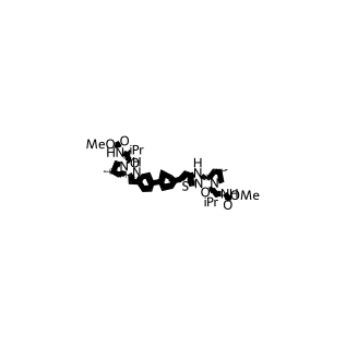 COC(=O)N[C@H](C(=O)N1C[C@@H](C)C[C@H]1c1cc2ccc(-c3ccc(-c4cc5[nH]c([C@@H]6C[C@H](C)CN6C(=O)[C@@H](NC(=O)OC)C(C)C)nc5s4)cc3)cc2[nH]1)C(C)C